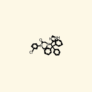 O=C1CN(C(c2c[nH]cn2)C(c2ccccc2)(c2ccccc2)c2ccccc2)CCN1c1cccc(Cl)c1